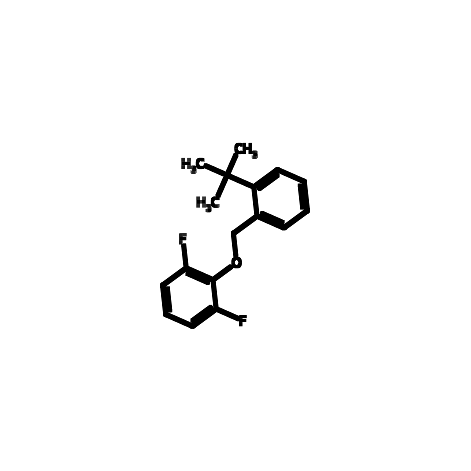 CC(C)(C)c1ccccc1COc1c(F)cccc1F